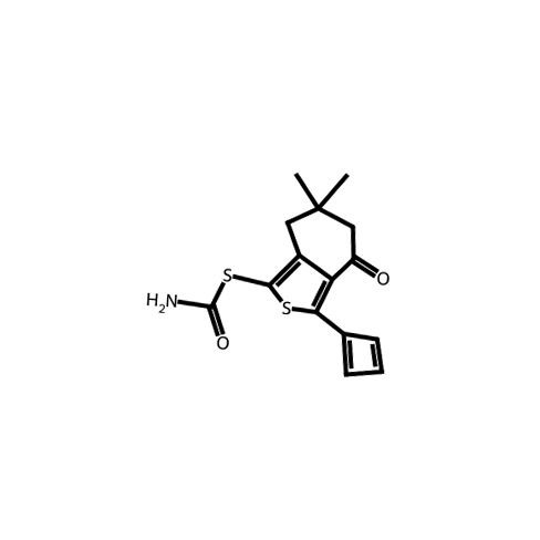 CC1(C)CC(=O)c2c(C3=CC=C3)sc(SC(N)=O)c2C1